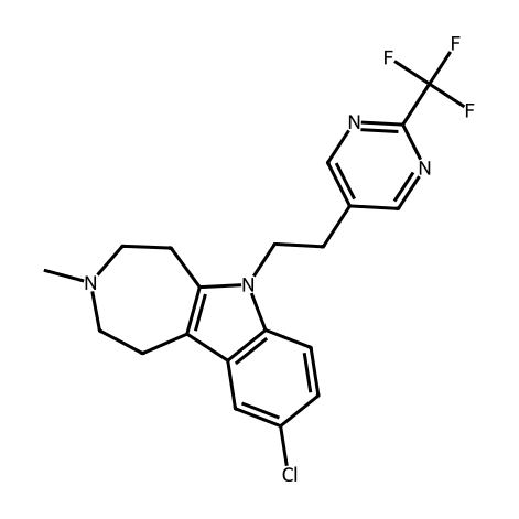 CN1CCc2c(n(CCc3cnc(C(F)(F)F)nc3)c3ccc(Cl)cc23)CC1